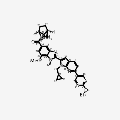 CCOc1ncc(-c2ccc3cc(-c4nc5cc(C(=O)N6C[C@H]7CC[C@@H]6[C@@H]7N)cc(OC)c5n4C)n(CC4CC4)c3n2)cn1